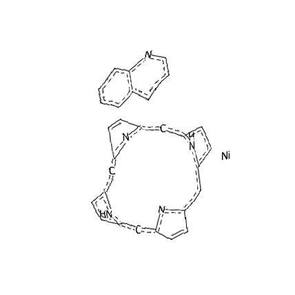 C1=Cc2cc3ccc(cc4nc(cc5ccc(cc1n2)[nH]5)C=C4)[nH]3.[Ni].c1ccc2ncccc2c1